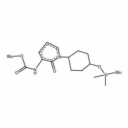 CC(C)(C)OC(=O)Nc1cccn(C2CCC(O[Si](C)(C)C(C)(C)C)CC2)c1=O